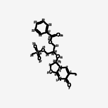 Cc1cn2c(nc1=O)OC[C@H]2O[C@H](COC(=O)c1ccccc1)COS(C)(=O)=O